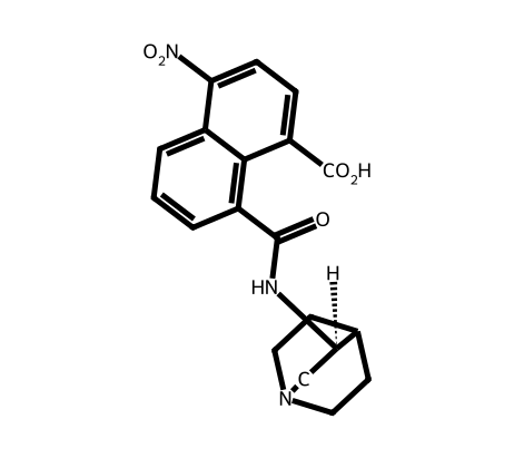 O=C(O)c1ccc([N+](=O)[O-])c2cccc(C(=O)N[C@@H]3CN4CCC3CC4)c12